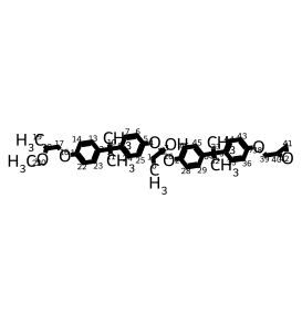 CCC(O)(Oc1ccc(C(C)(C)c2ccc(OCC(C)OC)cc2)cc1)Oc1ccc(C(C)(C)c2ccc(OCC3CO3)cc2)cc1